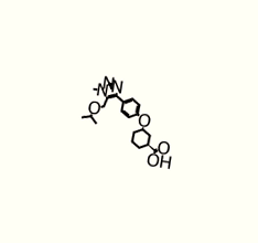 CC(C)OCc1c(-c2ccc(O[C@H]3CCC[C@H](C(=O)O)C3)cc2)nnn1C